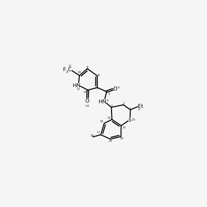 CCC1CC(NC(=O)c2ccc(C(F)(F)F)[nH]c2=O)c2cc(C)ccc2S1